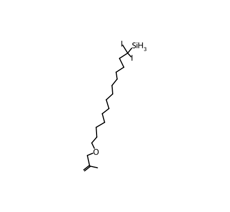 C=C(C)COCCCCCCCCCCCCCC([SiH3])(I)I